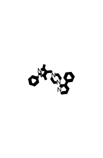 Cc1nn(-c2ccccc2)c(C)c1CN1CCN(c2ncccc2-c2ccccc2)CC1